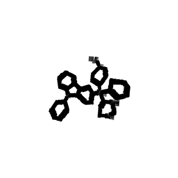 C[C@H]1C=CC([Si@](C2=CCNCN2)(c2ccccc2)c2ccc3c(c2)c2ccccc2n3-c2ccccc2)=CC1